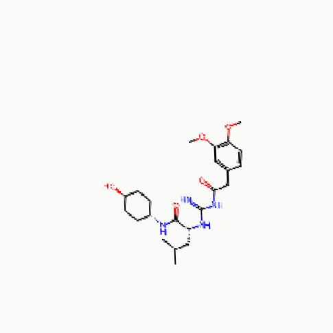 COc1ccc(CC(=O)NC(=N)N[C@H](CC(C)C)C(=O)N[C@H]2CC[C@H](O)CC2)cc1OC